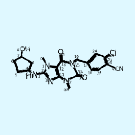 Cn1c(NC2CC[C@@H](O)C2)nc2c1c(=O)n(Cc1ccc(C#N)c(Cl)c1)c(=O)n2C